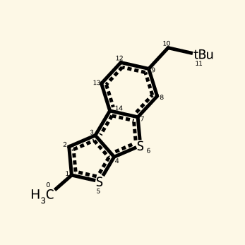 Cc1cc2c(s1)sc1cc(CC(C)(C)C)ccc12